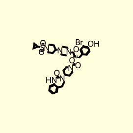 O=C(O[C@H](Cc1ccc(O)c(Br)c1)C(=O)N1CCN(C2CCN(S(=O)(=O)C3CC3)CC2)CC1)N1CCC(N2CCc3ccccc3NC2=O)CC1